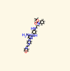 CC(C)(C)OC(=O)N(CCCNC1CCC(Nc2nc(N)cc(N3CCN(CCN4CCOCC4)CC3)n2)CC1)C1CCCCC1